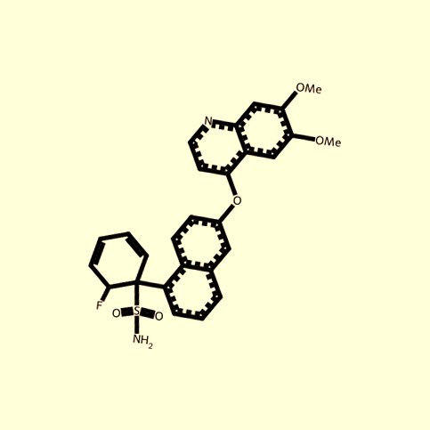 COc1cc2nccc(Oc3ccc4c(C5(S(N)(=O)=O)C=CC=CC5F)cccc4c3)c2cc1OC